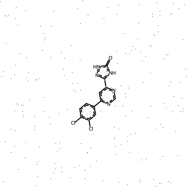 O=c1[nH]nc(-c2cc(-c3ccc(Cl)c(Cl)c3)ncn2)[nH]1